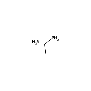 CCP.S